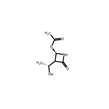 CC(=O)O[C@H]1NC(=O)C1[C@@H](C)O